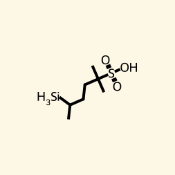 CC([SiH3])CCC(C)(C)S(=O)(=O)O